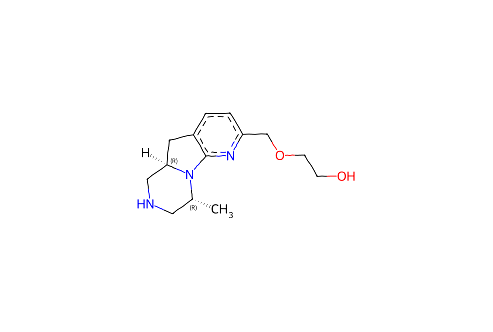 C[C@@H]1CNC[C@H]2Cc3ccc(COCCO)nc3N21